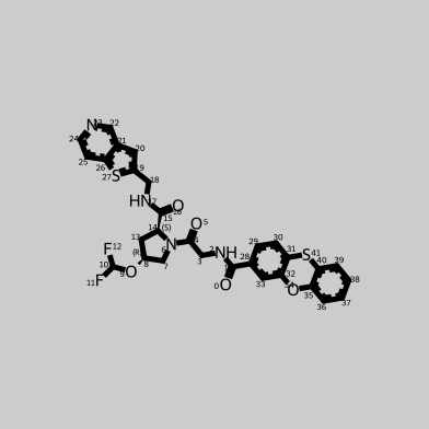 O=C(NCC(=O)N1C[C@H](OC(F)F)C[C@H]1C(=O)NCc1cc2cnccc2s1)c1ccc2c(c1)Oc1ccccc1S2